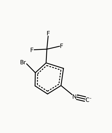 [C-]#[N+]c1ccc(Br)c(C(F)(F)F)c1